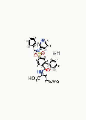 CSCCC(NC(=O)c1ccc(S(=O)(=O)N(Cc2ccccc2)c2cccnc2)cc1-c1ccccc1)C(=O)O.[LiH]